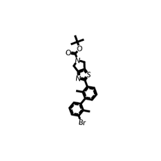 Cc1c(Br)cccc1-c1cccc(-c2nc3c(s2)CN(C(=O)OC(C)(C)C)C3)c1C